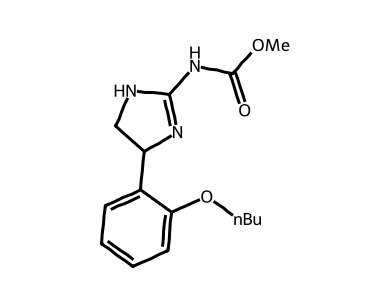 CCCCOc1ccccc1C1CNC(NC(=O)OC)=N1